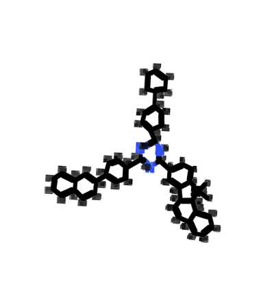 C[Si]1(C)c2ccc(-c3nc(-c4ccc(-c5ccccc5)cc4)nc(-c4ccc(-c5ccc6ccccc6c5)cc4)n3)cc2-c2ccc3ccccc3c21